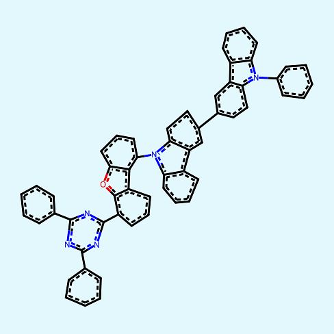 c1ccc(-c2nc(-c3ccccc3)nc(-c3cccc4c3oc3cccc(-n5c6ccccc6c6cc(-c7ccc8c(c7)c7ccccc7n8-c7ccccc7)ccc65)c34)n2)cc1